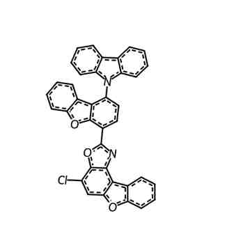 Clc1cc2oc3ccccc3c2c2nc(-c3ccc(-n4c5ccccc5c5ccccc54)c4c3oc3ccccc34)oc12